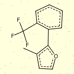 Cc1ccoc1-c1ccccc1C(F)(F)F